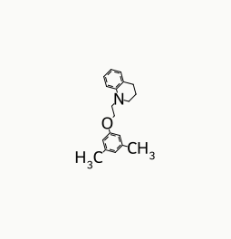 Cc1cc(C)cc(OCCN2CCCc3ccccc32)c1